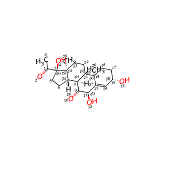 CC(=O)[C@@]1(O)CC[C@H]2[C@@H]3C(=O)[C@H](O)C4=C[C@@H](O)CC[C@]4(C)[C@H]3CC[C@@]21C